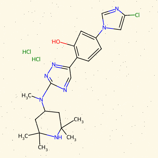 CN(c1ncc(-c2ccc(-n3cnc(Cl)c3)cc2O)nn1)C1CC(C)(C)NC(C)(C)C1.Cl.Cl